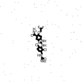 CC(C)(C)C(=O)NCc1ccc(Cl)c(Nc2nc3cc(C(N)=O)c(OCC(F)F)cc3[nH]2)c1Cl